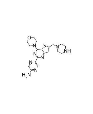 Nc1cnc(-c2nc(N3CCOCC3)c3sc(CN4CCNCC4)cc3n2)cn1